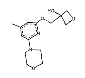 OC1(COc2cc(I)cc(N3CCOCC3)n2)COC1